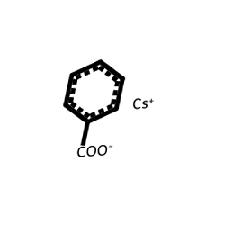 O=C([O-])c1ccccc1.[Cs+]